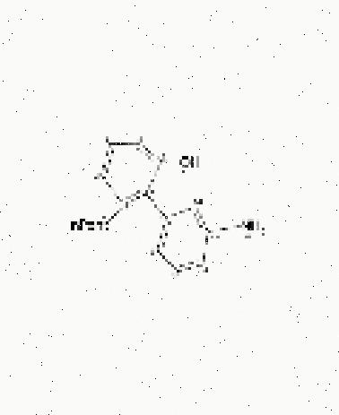 CCCCCc1cccc(O)c1-c1cccc(N)c1